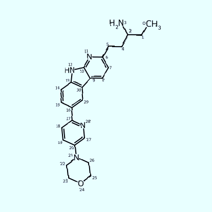 CCC(N)CCc1ccc2c(n1)[nH]c1ccc(-c3ccc(N4CCOCC4)cn3)cc12